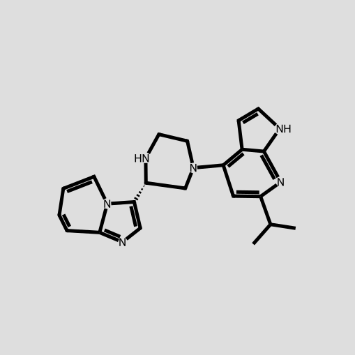 CC(C)c1cc(N2CCN[C@@H](c3cnc4ccccn34)C2)c2cc[nH]c2n1